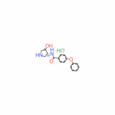 Cl.O=C(N[C@@H]1CNC[C@H]1O)c1ccc(Oc2ccccc2)cc1